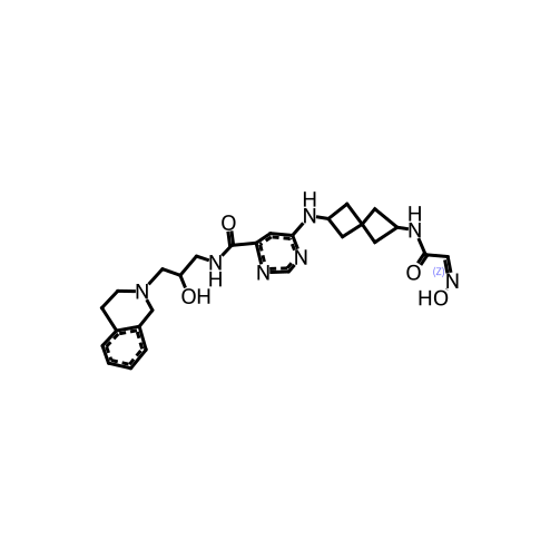 O=C(/C=N\O)NC1CC2(C1)CC(Nc1cc(C(=O)NCC(O)CN3CCc4ccccc4C3)ncn1)C2